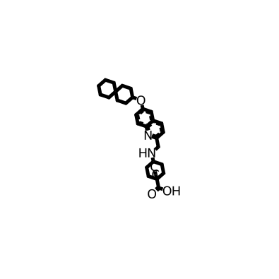 O=C(O)C12CCC(NCc3ccc4cc(OC5CCC6(CCCCC6)CC5)ccc4n3)(CC1)CC2